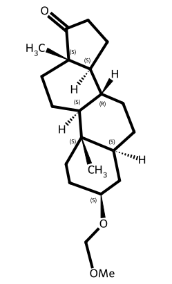 COCO[C@H]1CC[C@@]2(C)[C@@H](CC[C@@H]3[C@@H]2CC[C@]2(C)C(=O)CC[C@@H]32)C1